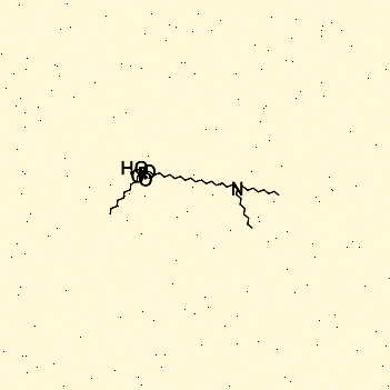 CCCCCCCCCOP(=O)(O)OCCCCCCCCCCCCCCCCN(CCCCCCCC)CCCCCCCC